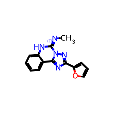 C/N=c1/[nH]c2ccccc2c2nc(-c3ccco3)nn12